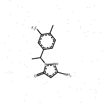 Cc1ccc(C(C)n2[nH]c(N)cc2=O)cc1C(F)(F)F